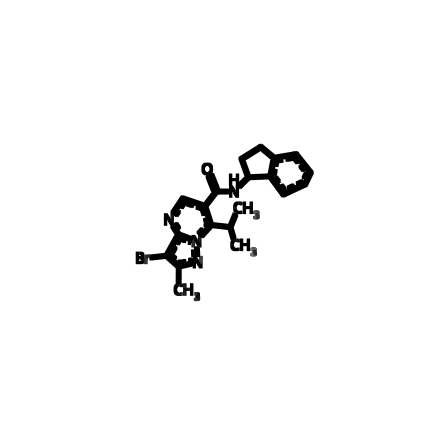 Cc1nn2c(C(C)C)c(C(=O)NC3CCc4ccccc43)cnc2c1Br